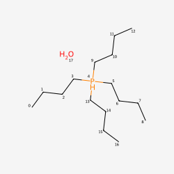 CCCC[PH](CCCC)(CCCC)CCCC.O